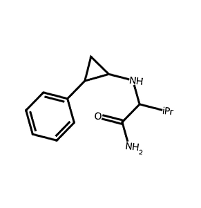 CC(C)C(NC1CC1c1ccccc1)C(N)=O